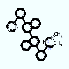 C=N/C=N\C(=C/C)c1ccccc1-c1ccc(-c2ccc(-c3ccccc3-c3ccncn3)c3ccccc23)c2ccccc12